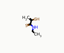 C=C(S)C(=S)NCC